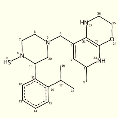 CC1C=C(CN2CCN(S)C(c3ccccc3C(C)C)C2)C2=C(N1)OCCN2